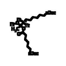 CCCCCCCCCCCCCCCC[N+](CC)(CC)C(C)(OCC)OC(=O)CCCCCCCCCCCCCCC